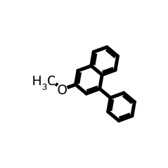 COc1cc(-c2ccccc2)c2ccccc2c1